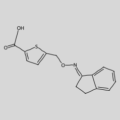 O=C(O)c1ccc(CON=C2CCc3ccccc32)s1